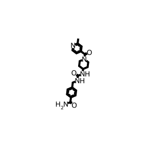 Cc1cc(C(=O)N2CCC(NC(=O)NCc3ccc(C(N)=O)cc3)CC2)ccn1